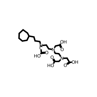 O=C(O)CN(CCCC1CCCCCC1)CCN(CCN(CC(=O)O)CC(=O)O)CC(=O)O